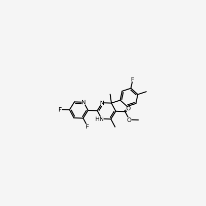 COC(=O)C1=C(C)NC(c2ncc(F)cc2F)=NC1(C)c1ccc(C)c(F)c1